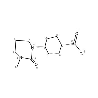 CN1CCCN([C@H]2CC[C@@H](C(=O)O)CC2)C1=O